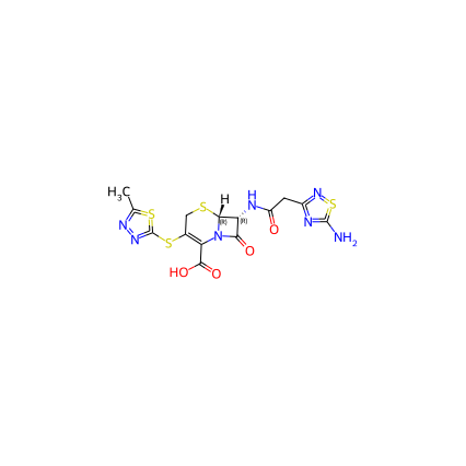 Cc1nnc(SC2=C(C(=O)O)N3C(=O)[C@@H](NC(=O)Cc4nsc(N)n4)[C@H]3SC2)s1